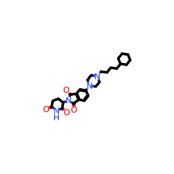 O=C1CCC(N2C(=O)c3ccc(N4CCN(CCCCC5CCCCC5)CC4)cc3C2=O)C(=O)N1